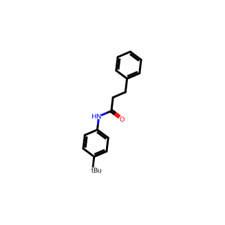 CC(C)(C)c1ccc(NC(=O)CCc2ccccc2)cc1